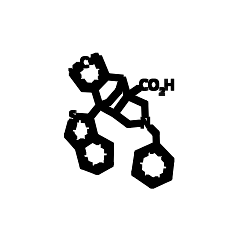 O=C(O)C12CN(Cc3ccccc3)CC1C1(c3scc4ccccc34)CCC2c2ccccc21